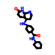 O=C(Nc1ccccc1)c1ccc(Nc2ccnc3[nH]c(=O)ccc23)cc1